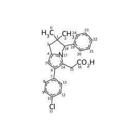 CC1(C)Cc2cc(-c3ccc(Cl)cc3)c(CC(=O)O)n2C1c1ccccc1